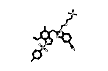 C=Cc1cc(C)c(Cc2nc3cc(C#N)ccc3n2COCC[Si](C)(C)C)c2ccn(S(=O)(=O)c3ccc(C)cc3)c12